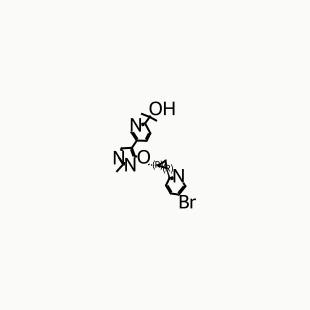 Cc1ncc(-c2ccc(C(C)(C)O)nc2)c(OC[C@@H]2C[C@H]2c2ccc(Br)cn2)n1